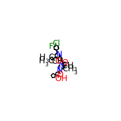 CC(C)(C)c1cc(-c2ccc(Cl)c(F)c2)nc2cc(C(=O)N3CCN(C(=O)CC4(CO)CCCC4)CC3(C)C)oc12